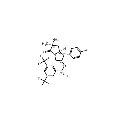 C[C@@H](O[C@H]1CN2C(=O)[C@@](C)(N)C[C@H]2[C@@H]1c1ccc(F)cc1)c1cc(C(F)(F)F)cc(C(F)(F)F)c1